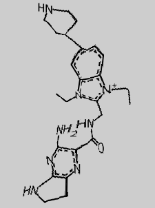 CCn1c(CNC(=O)c2nc3c(nc2N)NCC3)[n+](CC)c2ccc(C3CCNCC3)cc21